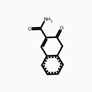 NC(=O)C1=Cc2ccccc2CC1=O